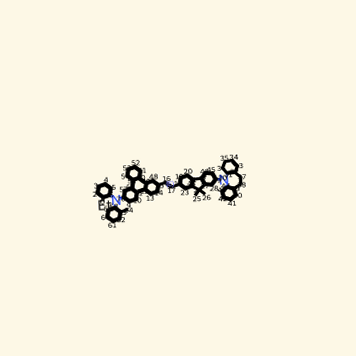 CCc1ccccc1N(c1ccc2c3ccc(/C=C/c4ccc5c(c4)C(C)(C)c4cc(N6C7=C(C=CCC7)CCc7ccccc76)ccc4-5)cc3c3ccccc3c2c1)c1ccccc1C